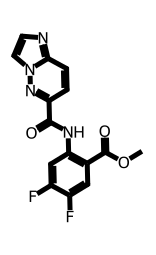 COC(=O)c1cc(F)c(F)cc1NC(=O)c1ccc2nccn2n1